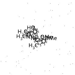 COc1ccc(CC(C)CCC(=O)[N]Cc2nc(C)c(C)n2Cc2ccccc2O)c(Cl)c1OC